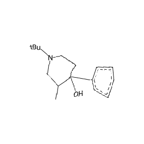 CC1CN(C(C)(C)C)CCC1(O)c1ccccc1